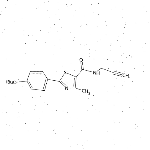 C#CCNC(=O)c1sc(-c2ccc(OCC(C)C)cc2)nc1C